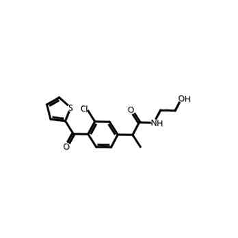 CC(C(=O)NCCO)c1ccc(C(=O)c2cccs2)c(Cl)c1